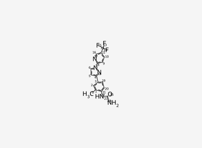 Cc1cc(-c2ccn(-c3ccc(C(F)(F)F)cn3)n2)ccc1NC(N)=O